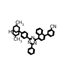 C[C@@H]1C[C@@H]2C[C@H](C)CC(c3ccc(-c4nc(-c5ccccc5)nc(-c5ccc(-c6cccc(C#N)c6)c6ccccc56)n4)cc3)(C1)C2